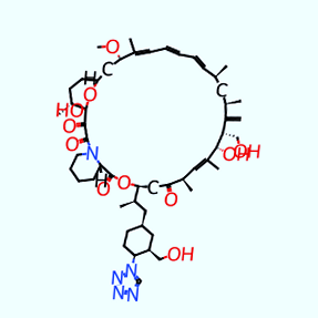 C=C1[C@H](C)C[C@H](C)/C=C/C=C/C=C(\C)[C@@H](OC)C[C@@H]2CC[C@@H](C)[C@@](O)(O2)C(=O)C(=O)N2CCCC[C@H]2C(=O)O[C@H]([C@H](C)C[C@@H]2CC[C@H](n3cnnn3)[C@H](CO)C2)CC(=O)[C@H](C)/C=C(\C)[C@@H](O)[C@H]1CO